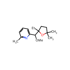 CCC1(C(OC)c2cccc(C)n2)CCC(C)(C)O1